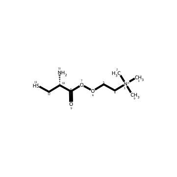 C[N+](C)(C)CCOOC(=O)[C@@H](N)CS